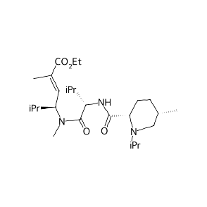 CCOC(=O)/C(C)=C/[C@H](C(C)C)N(C)C(=O)[C@@H](NC(=O)[C@@H]1CC[C@H](C)CN1C(C)C)C(C)C